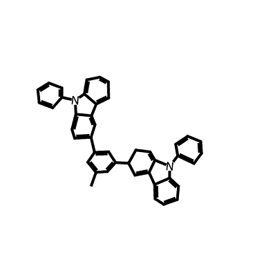 Cc1cc(-c2ccc3c(c2)c2ccccc2n3-c2ccccc2)cc(C2C=c3c(n(-c4ccccc4)c4ccccc34)=CC2)c1